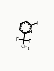 CC(F)(F)c1cccc(I)n1